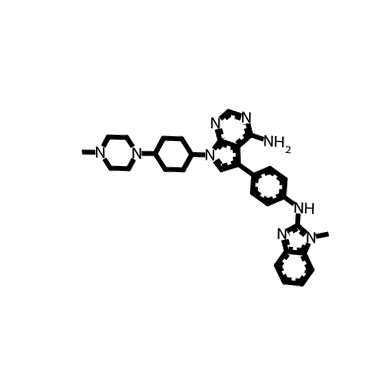 CN1CCN(C2CCC(n3cc(-c4ccc(Nc5nc6ccccc6n5C)cc4)c4c(N)ncnc43)CC2)CC1